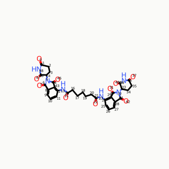 O=C1CCC(N2C(=O)c3cccc(NC(=O)CCCCCC(=O)Nc4cccc5c4C(=O)N(C4CCC(=O)NC4=O)C5=O)c3C2=O)C(=O)N1